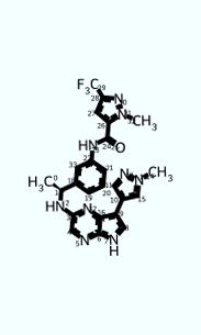 C[C@H](Nc1cnc2[nH]cc(-c3cnn(C)c3)c2n1)c1cccc(NC(=O)c2cc(C(F)(F)F)nn2C)c1